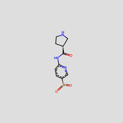 O=C(Nc1ccc([SH](=O)=O)cn1)[C@H]1CCNC1